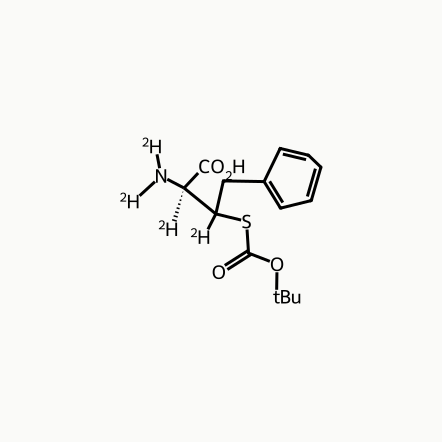 [2H]N([2H])[C@@]([2H])(C(=O)O)C([2H])(Cc1ccccc1)SC(=O)OC(C)(C)C